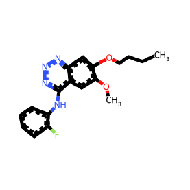 CCCCOc1cc2nnnc(Nc3ccccc3F)c2cc1OC